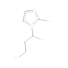 Oc1nccn1C(Br)CCBr